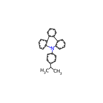 CC(C)c1ccc(N2c3ccccc3-c3ccccc3-c3ccccc32)cc1